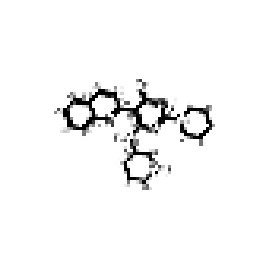 O=c1[nH]c(N2CCCCC2)nc(NC2CCCNC2)c1-c1ccc2ccccc2n1